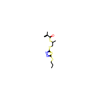 C=C(C)C(=O)SC(C)CSc1nnc(SCCC)s1